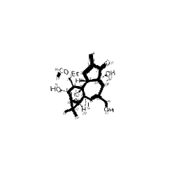 CC1=C[C@H]2[C@@]3(O)[C@H](C)[C@@H](O)[C@]4(O)[C@@H]([C@@H]3C=C(CO)C[C@]2(O)C1=O)C4(C)C.CCOC(C)=O